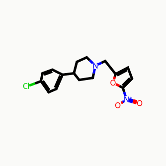 O=[N+]([O-])c1ccc(CN2CCC(c3ccc(Cl)cc3)CC2)o1